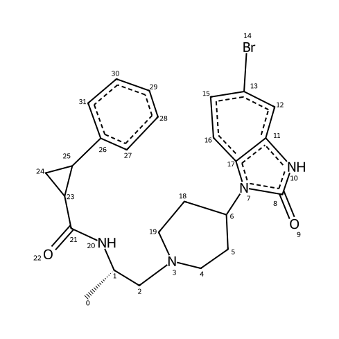 C[C@@H](CN1CCC(n2c(=O)[nH]c3cc(Br)ccc32)CC1)NC(=O)C1CC1c1ccccc1